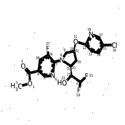 COC(=O)c1cnc(N2C[C@@H](Oc3ccc(Cl)cn3)C[C@H]2C(O)C(F)F)c(F)c1